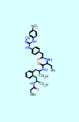 CC(C)CC(NC(=O)Cc1ccc(NC(=NC#N)Nc2ccc([N+](=O)[O-])cc2)cc1)C(=O)NC(Cc1ccccc1CC(NC(=O)CC(C)(C)C)C(=O)O)C(=O)O